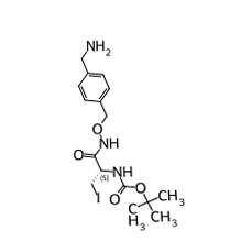 CC(C)(C)OC(=O)N[C@H](CI)C(=O)NOCc1ccc(CN)cc1